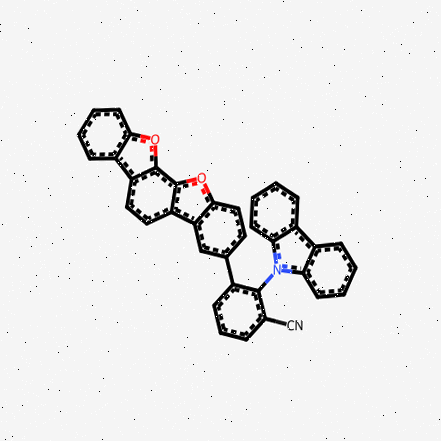 N#Cc1cccc(-c2ccc3oc4c(ccc5c6ccccc6oc54)c3c2)c1-n1c2ccccc2c2ccccc21